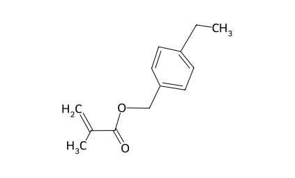 C=C(C)C(=O)OCc1ccc(CC)cc1